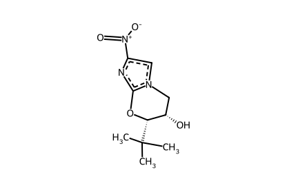 CC(C)(C)[C@@H]1Oc2nc([N+](=O)[O-])cn2C[C@@H]1O